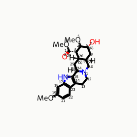 COC(=O)[C@@H]1C(OC)[C@H](O)C[C@H]2CN3CCc4c([nH]c5cc(OC)ccc45)[C@H]3C[C@@H]21